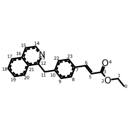 CCOC(=O)/C=C/c1ccc(Cc2nccc3ccccc23)cc1